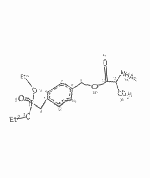 CCOP(=O)(Cc1ccc(COC(=O)C(NC(C)=O)C(=O)O)cc1)OCC